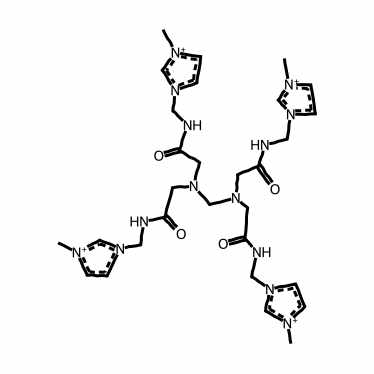 C[n+]1ccn(CNC(=O)CN(CC(=O)NCn2cc[n+](C)c2)CN(CC(=O)NCn2cc[n+](C)c2)CC(=O)NCn2cc[n+](C)c2)c1